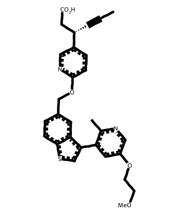 CC#C[C@@H](CC(=O)O)c1ccc(OCc2ccc3scc(-c4cc(OCCOC)cnc4C)c3c2)nc1